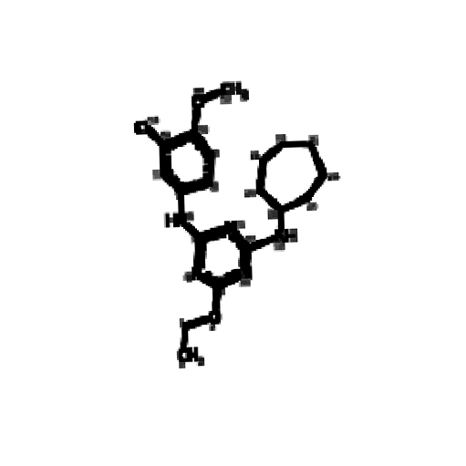 CCOc1nc(Nc2ccc(OC)c(Cl)c2)nc(NC2CCCCCC2)n1